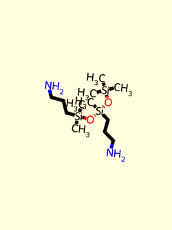 C[Si](C)(C)O[Si](C)(CCCN)O[Si](C)(C)CCCN